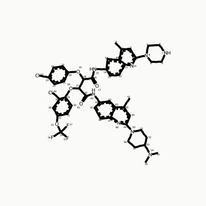 Cc1cc(N2CCNCC2)nc2ccc(NC(=O)C(Oc3ccc(Cl)cc3)C(Oc3ccc(OC(F)(F)F)cc3Cl)C(=O)Nc3ccc4nc(N5CCC(N(C)C)CC5)cc(C)c4c3)cc12